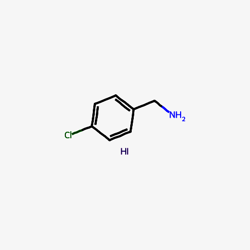 I.NCc1ccc(Cl)cc1